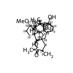 C=C(CN1CC[C@]23c4c5ccc(O)c4O[C@H]2[C@]2(OC)CC[C@@]3(C[C@@H]2[C@](C)(O)C(C)(C)C)[C@H]1C5)S(C)(=O)=O